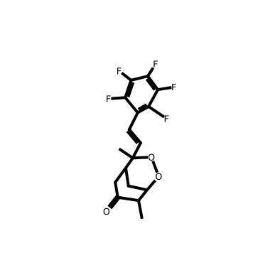 CC1C(=O)CC2CC1OOC2(C)/C=C/c1c(F)c(F)c(F)c(F)c1F